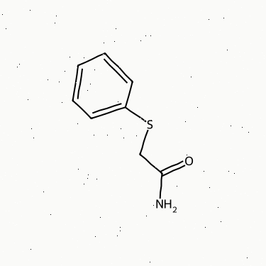 NC(=O)CSc1ccccc1